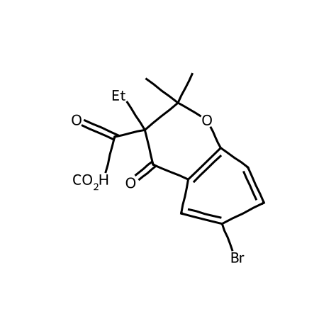 CCC1(C(=O)C(=O)O)C(=O)c2cc(Br)ccc2OC1(C)C